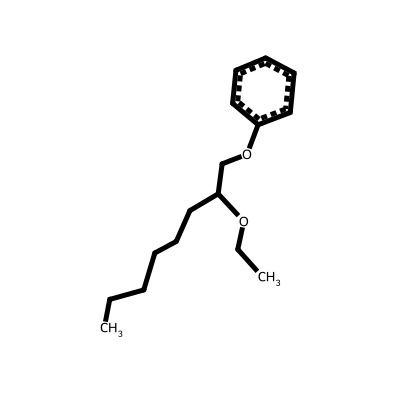 CCCCCCC(COc1ccccc1)OCC